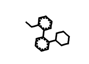 CCc1ccccc1-c1ccccc1C1CCCCC1